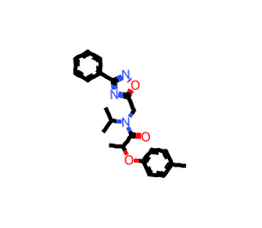 Cc1ccc(OC(C)C(=O)N(Cc2nc(-c3ccccc3)no2)C(C)C)cc1